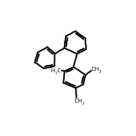 Cc1cc(C)c(-c2ccccc2-c2ccccc2)c(C)c1